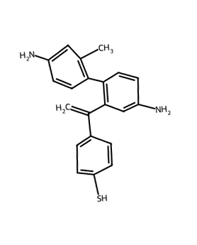 C=C(c1ccc(S)cc1)c1cc(N)ccc1-c1ccc(N)cc1C